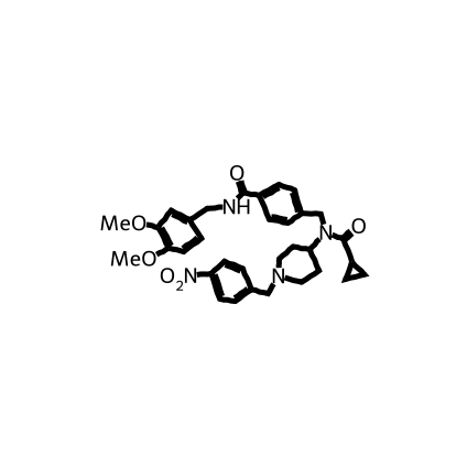 COc1ccc(CNC(=O)c2ccc(CN(C(=O)C3CC3)C3CCN(Cc4ccc([N+](=O)[O-])cc4)CC3)cc2)cc1OC